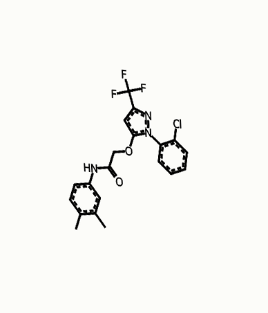 Cc1ccc(NC(=O)COc2cc(C(F)(F)F)nn2-c2ccccc2Cl)cc1C